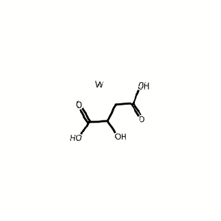 O=C(O)CC(O)C(=O)O.[W]